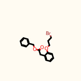 O=C(Cc1ccccc1OCCCBr)OCc1ccccc1